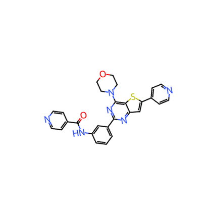 O=C(Nc1cccc(-c2nc(N3CCOCC3)c3sc(-c4ccncc4)cc3n2)c1)c1ccncc1